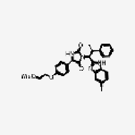 COCCOc1ccc([C@H]2NC(=O)N(C(c3nc4cc(I)ccc4[nH]3)[C@@H](C)c3ccccc3)C2=O)cc1